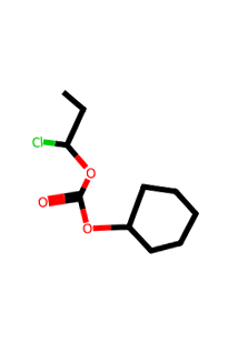 CCC(Cl)OC(=O)OC1CCCCC1